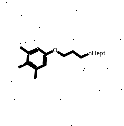 CCCCCCCCCCOc1cc(C)c(C)c(C)c1